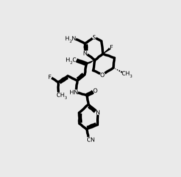 C=C(/C=C(\C=C(/C)F)NC(=O)c1ccc(C#N)cn1)[C@]12CO[C@@H](C)C[C@@]1(F)CSC(N)=N2